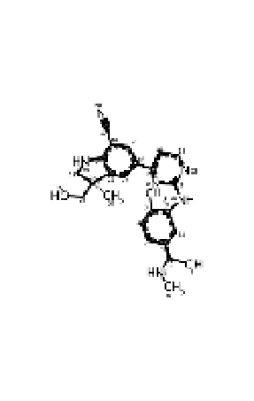 CNC(O)c1ccc(C)c(Nc2nccc(-c3cc(C#N)c4c(c3)[C@@](C)(CO)CN4)n2)c1